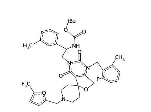 Cc1cccc(C(Cn2c(=O)c3c(n(Cc4c(C)cccc4F)c2=O)COC32CCN(Cc3ccc(C(F)(F)F)o3)CC2)NC(=O)OC(C)(C)C)c1